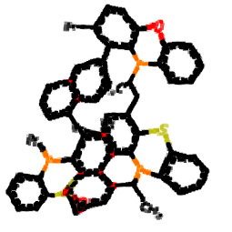 CC(C)c1cc(CC(C)P2c3ccccc3Sc3c(CC(C)P4c5ccccc5Oc5ccc(C(C)C)c(-c6ccccc6)c54)cc(C(C)C)c(-c4ccccc4)c32)c2c(c1-c1ccccc1)P(C(C)C)c1ccccc1[S+]2[O-]